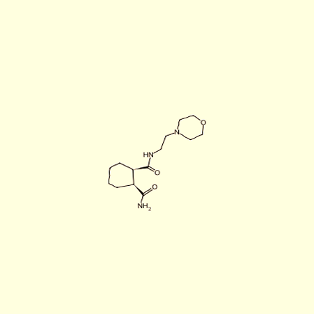 NC(=O)[C@H]1CCCC[C@H]1C(=O)NCCN1CCOCC1